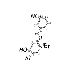 CCc1cc(C(C)=O)c(O)cc1OCc1cccc(C#N)c1